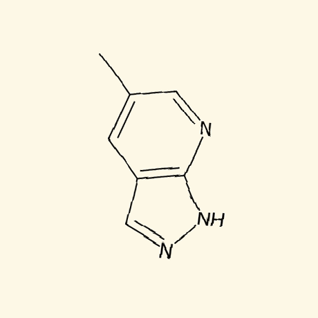 Cc1cnc2[nH]ncc2c1